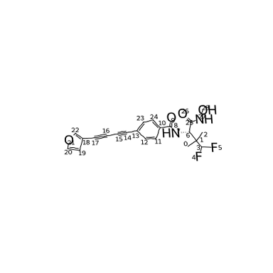 CC(C)(C(F)F)[C@H](NC(=O)c1ccc(C#CC#Cc2ccoc2)cc1)C(=O)NO